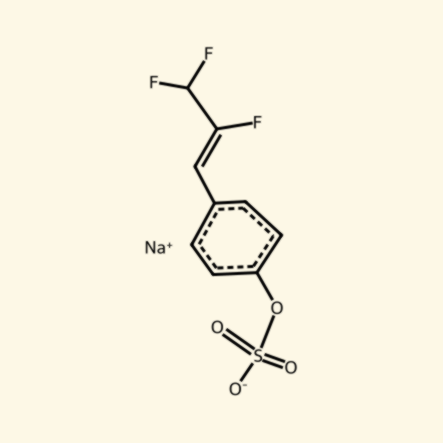 O=S(=O)([O-])Oc1ccc(C=C(F)C(F)F)cc1.[Na+]